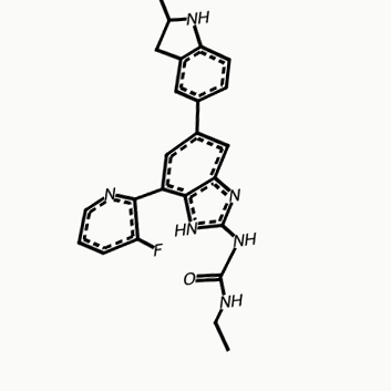 CCNC(=O)Nc1nc2cc(-c3ccc4c(c3)CC(C)N4)cc(-c3ncccc3F)c2[nH]1